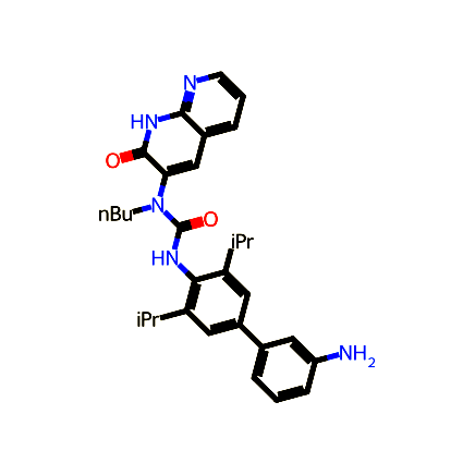 CCCCN(C(=O)Nc1c(C(C)C)cc(-c2cccc(N)c2)cc1C(C)C)c1cc2cccnc2[nH]c1=O